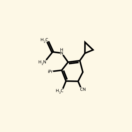 C=C(N)NC1=C(C2CC2)CC(C#N)C(C)=C1C(C)C